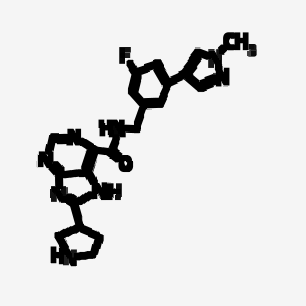 Cn1cc(-c2cc(F)cc(CNC(=O)c3ncnc4nc(C5CCNC5)[nH]c34)c2)cn1